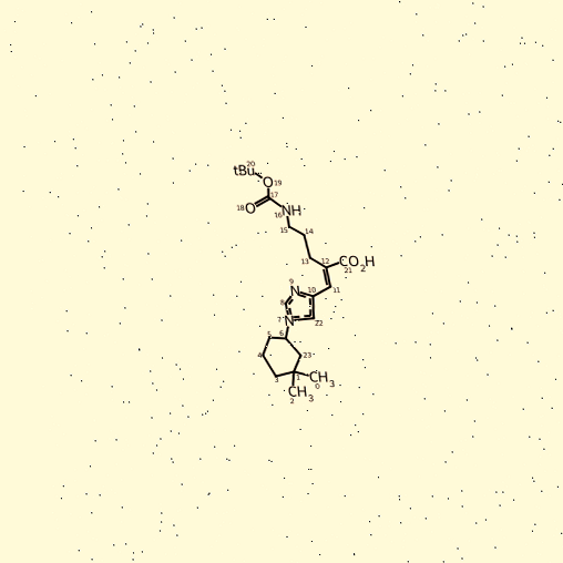 CC1(C)CCCC(n2cnc(/C=C(\CCCNC(=O)OC(C)(C)C)C(=O)O)c2)C1